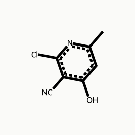 Cc1cc(O)c(C#N)c(Cl)n1